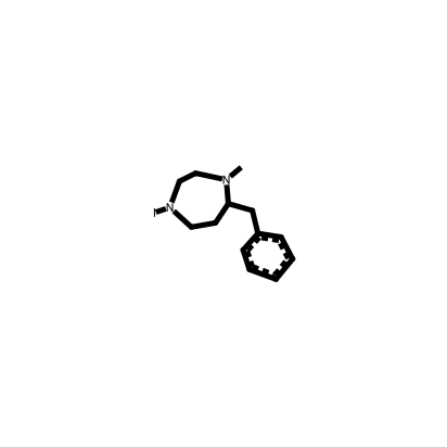 CN1CCN(I)CCC1Cc1ccccc1